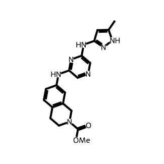 COC(=O)N1CCc2ccc(Nc3cncc(Nc4cc(C)[nH]n4)n3)cc2C1